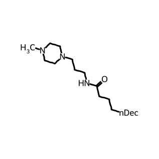 CCCCCCCCCCCCCC(=O)NCCCN1CCN(C)CC1